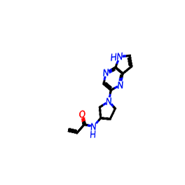 C=CC(=O)NC1CCN(c2cnc3[nH]ccc3n2)C1